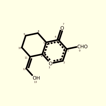 O=Cc1coc2c(c1=O)CCC/C2=C/O